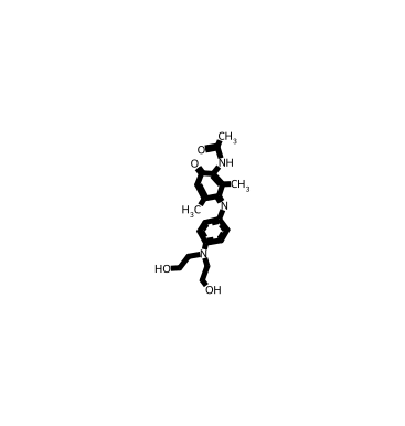 CC(=O)NC1=C(C)C(=Nc2ccc(N(CCO)CCO)cc2)C(C)=CC1=O